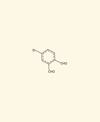 CCc1ccc(C=O)c(C=O)c1